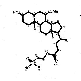 COC1CC2CC(O)CCC2(C)C2CCC3(C)C(C(C)CCC(=O)OCOP(=O)(O)O)CCC3C12